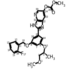 COC[C@H](C)Oc1cc(OCc2ccccc2F)cc(-c2nc3cc(OC(=O)OC)cnc3[nH]2)c1